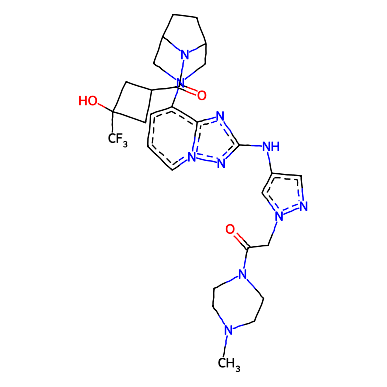 CN1CCN(C(=O)Cn2cc(Nc3nc4c(N5CC6CCC(C5)N6C(=O)C5CC(O)(C(F)(F)F)C5)cccn4n3)cn2)CC1